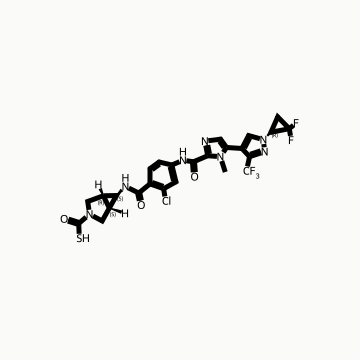 Cn1c(-c2cn([C@@H]3CC3(F)F)nc2C(F)(F)F)cnc1C(=O)Nc1ccc(C(=O)N[C@H]2[C@@H]3CN(C(=O)S)C[C@@H]32)c(Cl)c1